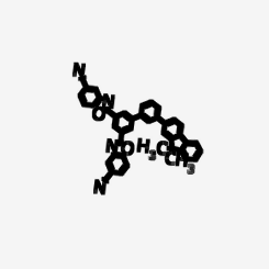 CC1(C)c2ccccc2-c2ccc(-c3cccc(-c4cc(-c5nc6cc(C#N)ccc6o5)cc(-c5nc6cc(C#N)ccc6o5)c4)c3)cc21